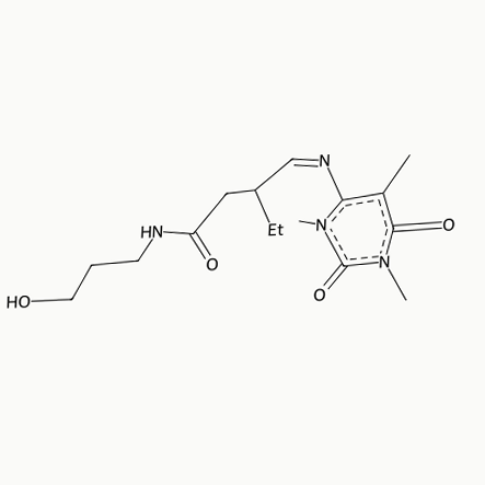 CCC(/C=N\c1c(C)c(=O)n(C)c(=O)n1C)CC(=O)NCCCO